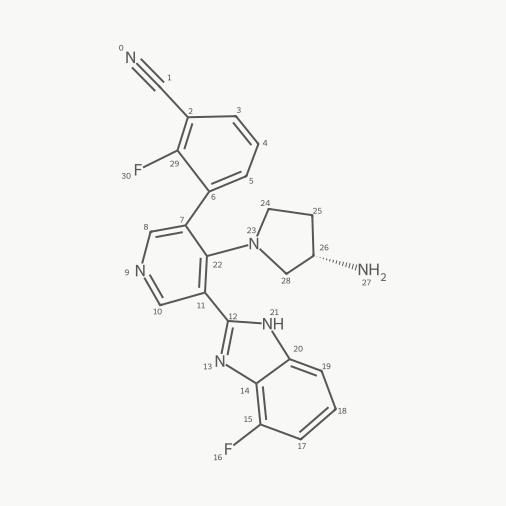 N#Cc1cccc(-c2cncc(-c3nc4c(F)cccc4[nH]3)c2N2CC[C@H](N)C2)c1F